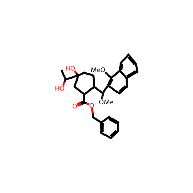 COc1c(C(OC)C2CCC(O)(C(C)O)CC2C(=O)OCc2ccccc2)ccc2ccccc12